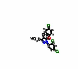 O=Cc1c(C(=O)O)nn(-c2ccc(Cl)cc2Cl)c1Oc1ccc(Cl)cc1